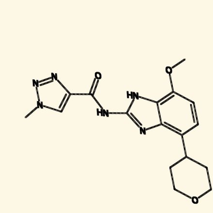 COc1ccc(C2CCOCC2)c2nc(NC(=O)c3cn(C)nn3)[nH]c12